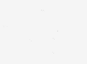 CCCn1c(C2=CCCC=C2)nc2c1CN(Cc1cc(OC)ccc1OC)CC2